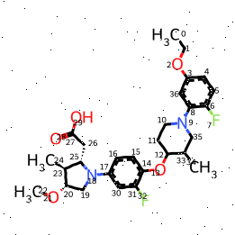 CCOc1ccc(F)c(N2CCC(Oc3ccc(N4C[C@H](OC)[C@@H](C)[C@@H]4CC(=O)O)cc3F)C(C)C2)c1